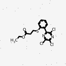 CCOC(=O)CCSc1ccccc1-c1nc(Cl)c(Cl)nc1Cl